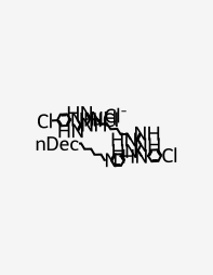 CCCCCCCCCCCCCCCC[n+]1ccccc1.Cl.N=C(NCCCCCCNC(=N)NC(=N)Nc1ccc(Cl)cc1)NC(=N)Nc1ccc(Cl)cc1.[Cl-]